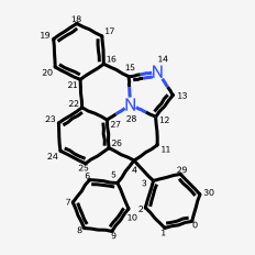 c1ccc(C2(c3ccccc3)Cc3cnc4c5ccccc5c5cccc2c5n34)cc1